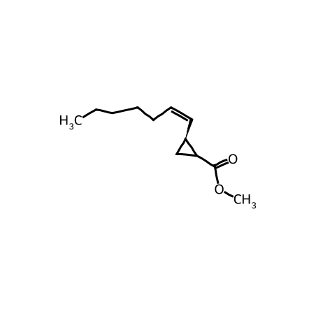 CCCCC/C=C\[C@@H]1CC1C(=O)OC